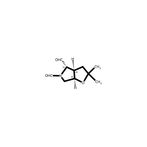 CC1(C)C[C@H]2[C@H](CN(C=O)[C@@H]2C=O)O1